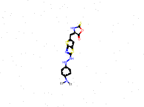 CCN(CC)c1ccc(NNc2nc3sc(/C=C4/NC(=S)OC4=O)cc3s2)cc1